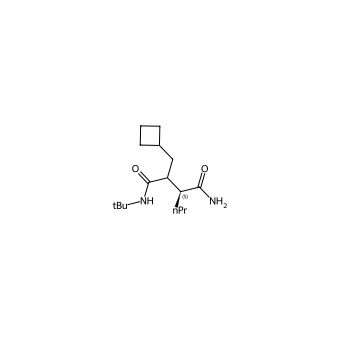 CCC[C@H](C(N)=O)C(CC1CCC1)C(=O)NC(C)(C)C